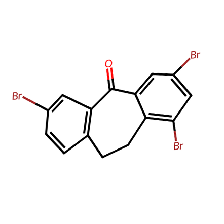 O=C1c2cc(Br)ccc2CCc2c(Br)cc(Br)cc21